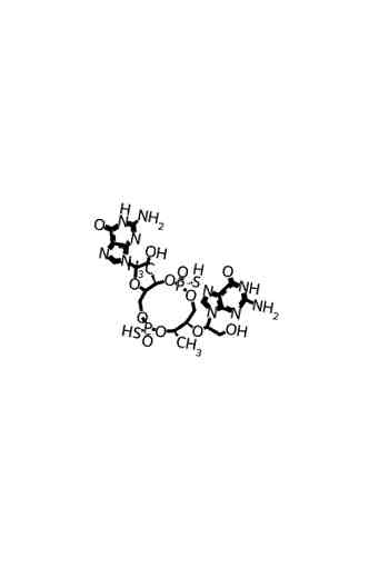 C[C@H]1O[P@](=O)(S)OC[C@@H](OC(CO)n2cnc3c(=O)[nH]c(N)nc32)[C@@H](C)O[P@@](=O)(S)OCC1OC(CO)n1cnc2c(=O)[nH]c(N)nc21